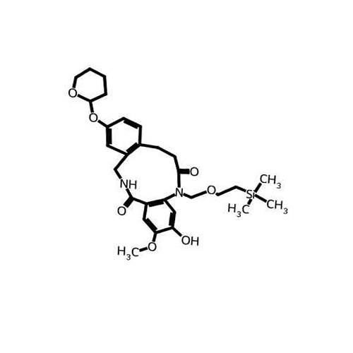 COc1cc2c(cc1O)N(COCC[Si](C)(C)C)C(=O)CCc1ccc(OC3CCCCO3)cc1CNC2=O